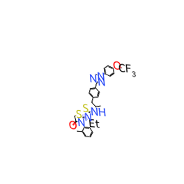 CCc1cccc(C)c1N1C(=O)CS/C1=N\C(=S)NC(C)Cc1ccc(-c2ncn(-c3ccc(OC(F)(F)F)cc3)n2)cc1